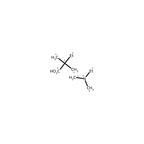 CCC(C)(C)C(=O)O.CCN(C)C